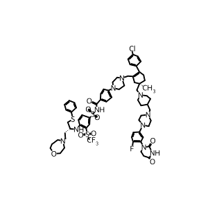 C[C@@]1(CN2CCC(CN3CCN(c4ccc(F)c(N5CCC(=O)NC5=O)c4)CC3)CC2)CCC(c2ccc(Cl)cc2)=C(CN2CCN(c3ccc(C(=O)NS(=O)(=O)c4ccc(N[C@H](CCN5CCCOCC5)CSc5ccccc5)c(S(=O)(=O)C(F)(F)F)c4)cc3)CC2)C1